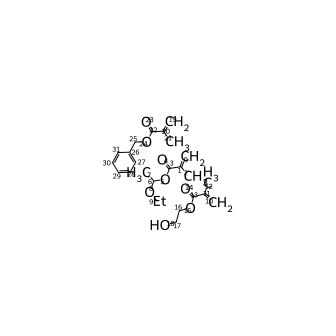 C=C(C)C(=O)OC(C)OCC.C=C(C)C(=O)OCCO.C=C(C)C(=O)OCc1ccccc1